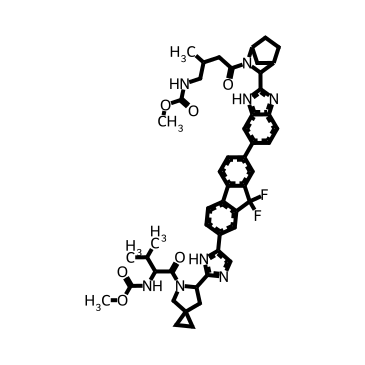 COC(=O)NCC(C)CC(=O)N1C2CCC(C2)C1c1nc2ccc(-c3ccc4c(c3)C(F)(F)c3cc(-c5cnc(C6CC7(CC7)CN6C(=O)C(NC(=O)OC)C(C)C)[nH]5)ccc3-4)cc2[nH]1